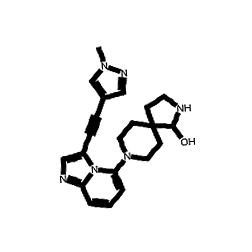 Cn1cc(C#Cc2cnc3cccc(N4CCC5(CCNC5O)CC4)n23)cn1